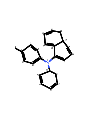 Cc1ccc(N(C2=CC=CC3CC=CC=C23)C2C=CC=CC2)cc1